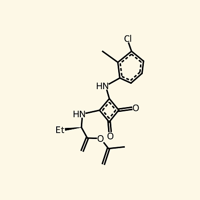 C=C(C)OC(=C)[C@@H](CC)Nc1c(Nc2cccc(Cl)c2C)c(=O)c1=O